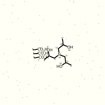 CC(=O)O.CC(=O)O.CC(=O)O.CC(O)CN(CC(C)O)CC(C)O